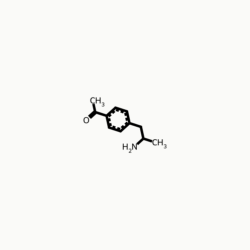 CC(=O)c1ccc(CC(C)N)cc1